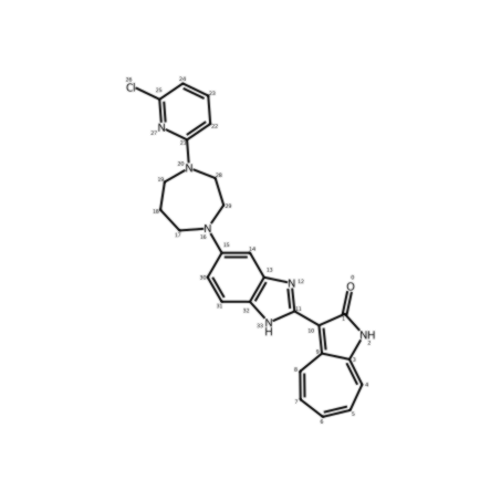 O=c1[nH]c2cccccc-2c1-c1nc2cc(N3CCCN(c4cccc(Cl)n4)CC3)ccc2[nH]1